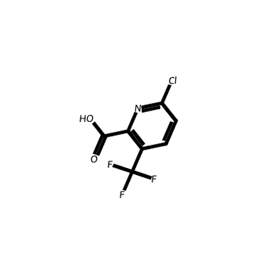 O=C(O)c1nc(Cl)ccc1C(F)(F)F